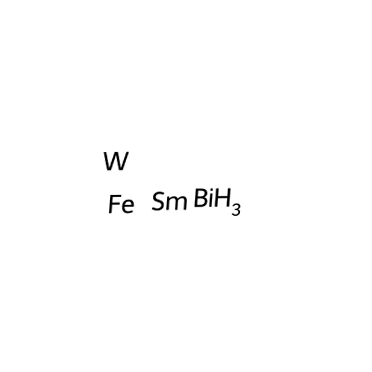 [BiH3].[Fe].[Sm].[W]